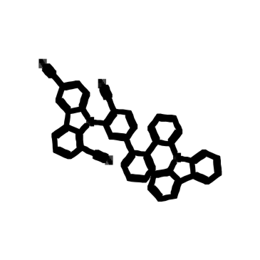 N#Cc1ccc2c(c1)c1cccc(C#N)c1n2-c1cc(-c2ccccc2-c2ccccc2-n2c3ccccc3c3ccccc32)ccc1C#N